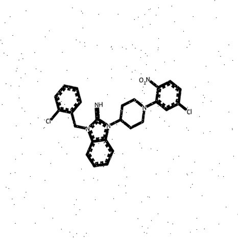 N=c1n(Cc2ccccc2Cl)c2ccccc2n1C1CCN(c2cc(Cl)ccc2[N+](=O)[O-])CC1